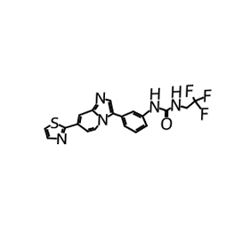 O=C(NCC(F)(F)F)Nc1cccc(-c2cnc3cc(-c4nccs4)ccn23)c1